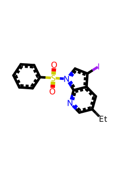 CCc1cnc2c(c1)c(I)cn2S(=O)(=O)c1ccccc1